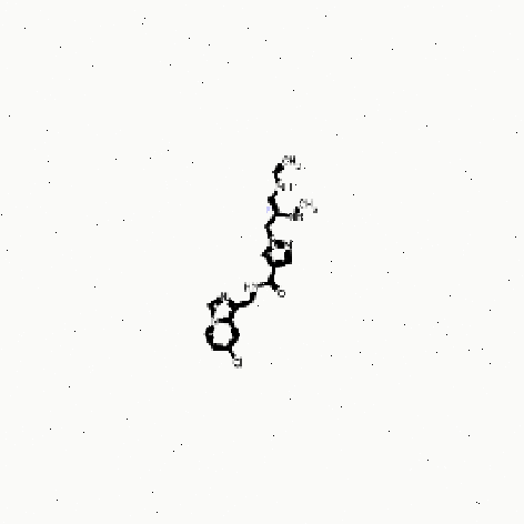 C=CN/C=C(/Cn1cc(C(=O)NCc2ncn3ccc(Cl)cc23)cn1)NC